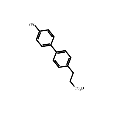 CCCc1ccc(-c2ccc(CCC(=O)OCC)cc2)cc1